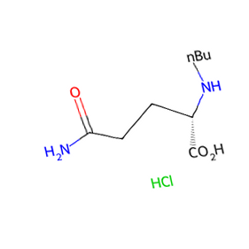 CCCCN[C@@H](CCC(N)=O)C(=O)O.Cl